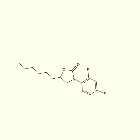 CCCCCCC1CN(c2ccc(F)cc2F)C(=O)O1